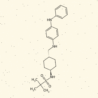 CC(C)(C)S(=O)(=O)N[C@H]1CC[C@H](CNc2ccc(Nc3ccccc3)cc2)CC1